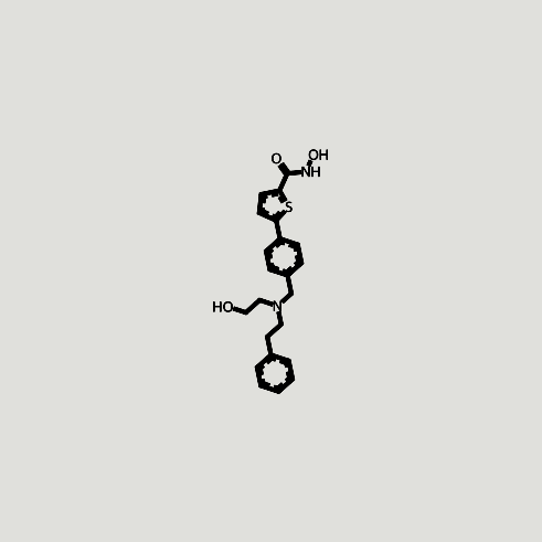 O=C(NO)c1ccc(-c2ccc(CN(CCO)CCc3ccccc3)cc2)s1